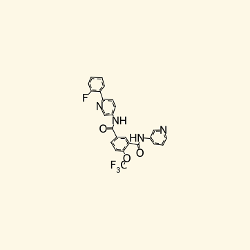 O=C(Nc1ccc(-c2ccccc2F)nc1)c1ccc(OC(F)(F)F)c(C(=O)Nc2cccnc2)c1